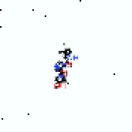 Cc1c(F)ccc2[nH]c(C(=O)N3CCn4ncc(C(=O)N5CCC(O)CC56CC6)c4C3)cc12